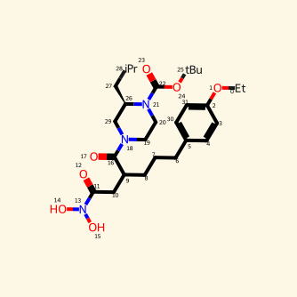 CCOc1ccc(CCCC(CC(=O)N(O)O)C(=O)N2CCN(C(=O)OC(C)(C)C)[C@H](CC(C)C)C2)cc1